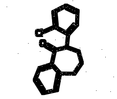 O=C1c2ccccc2CCCC1c1ccccc1Cl